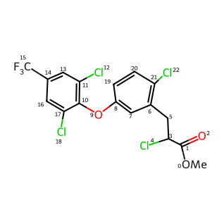 COC(=O)C(Cl)Cc1cc(Oc2c(Cl)cc(C(F)(F)F)cc2Cl)ccc1Cl